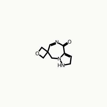 O=C1N=CC2(COC2)CN2NCC=C12